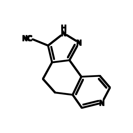 N#Cc1[nH]nc2c1CCc1cnccc1-2